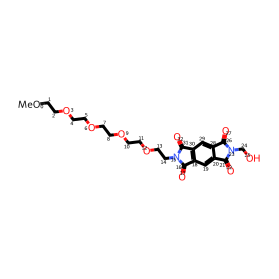 COCCOCCOCCOCCOCCn1c(=O)c2cc3c(=O)n(CO)c(=O)c3cc2c1=O